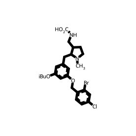 CC(C)COc1cc(CC2C(CNC(=O)O)CCN2C)cc(OCc2ccc(Cl)cc2Br)c1